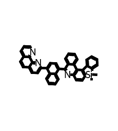 C[Si]1(C)c2ccccc2-c2c1ccc1nc(-c3ccc(-c4ccc5ccc6cccnc6c5n4)c4ccccc34)c3ccccc3c21